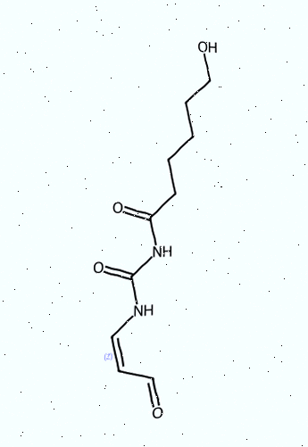 O=C/C=C\NC(=O)NC(=O)CCCCCO